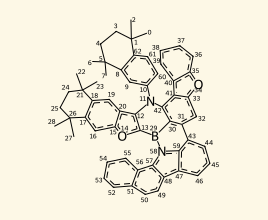 CC1(C)CCC(C)(C)c2cc(N3c4c(oc5cc6c(cc45)C(C)(C)CCC6(C)C)B4c5c(cc6oc7ccccc7c6c53)-c3cccc5c6ccc7ccccc7c6n4c35)ccc21